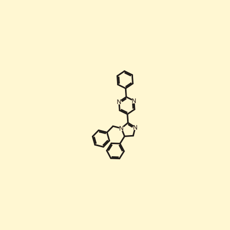 c1ccc(CN2C(c3cnc(-c4ccccc4)nc3)=NCC2c2ccccc2)cc1